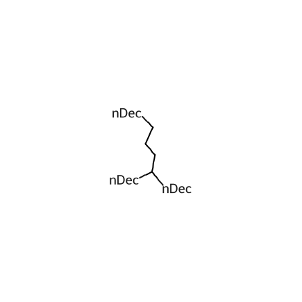 CCCCCCCCCCCCCC(CCCCCCCCCC)CCCCCCCCCC